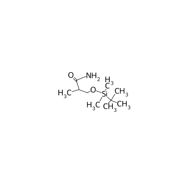 CC(CO[Si](C)(C)C(C)(C)C)C(N)=O